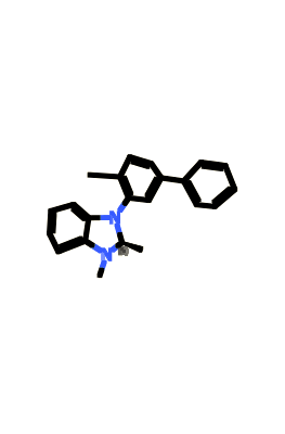 Cc1ccc(-c2ccccc2)cc1N1c2ccccc2N(C)[C@@H]1C